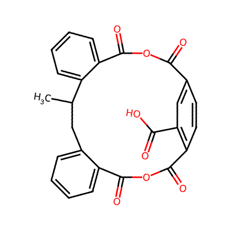 CC1Cc2ccccc2C(=O)OC(=O)c2ccc(cc2C(=O)O)C(=O)OC(=O)c2ccccc21